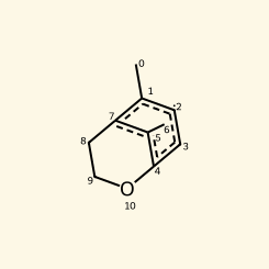 Cc1[c]cc2c(C)c1CCO2